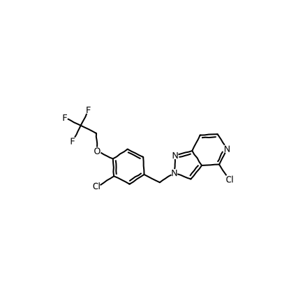 FC(F)(F)COc1ccc(Cn2cc3c(Cl)nccc3n2)cc1Cl